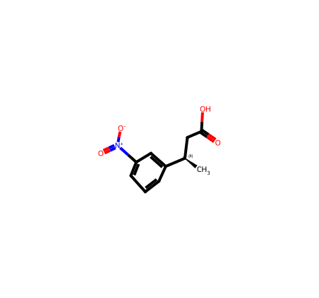 C[C@H](CC(=O)O)c1cccc([N+](=O)[O-])c1